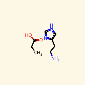 CCC(=O)O.NCCc1c[nH]cn1